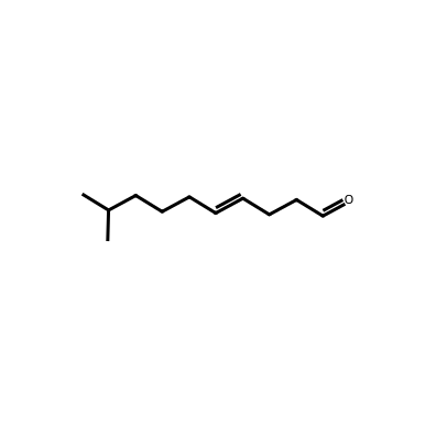 CC(C)CCCC=CCCC=O